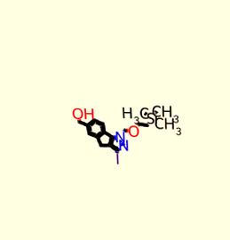 C[Si](C)(C)CCOCn1nc(I)c2c1-c1ccc(CO)cc1C2